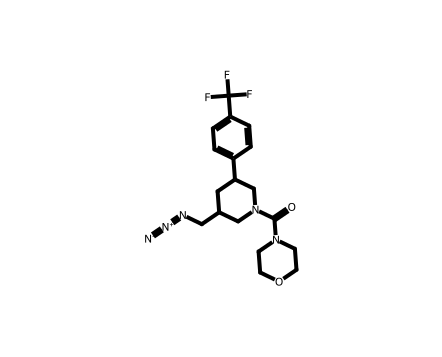 [N-]=[N+]=NCC1CC(c2ccc(C(F)(F)F)cc2)CN(C(=O)N2CCOCC2)C1